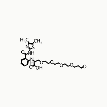 Cc1nc(NC(=O)c2ccccc2NC(COCCOCCOCCOCCC=O)C(=O)O)sc1C